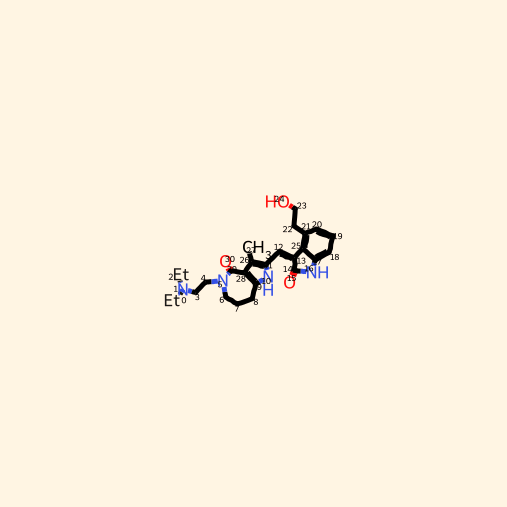 CCN(CC)CCN1CCCc2[nH]c(C=C3C(=O)Nc4cccc(CCO)c43)c(C)c2C1=O